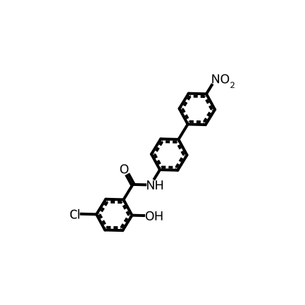 O=C(Nc1ccc(-c2ccc([N+](=O)[O-])cc2)cc1)c1cc(Cl)ccc1O